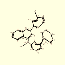 Cc1ccnc(-c2nc3ccccc3c(N(F)c3cncc(N4CCOCC4)c3)c2C)c1